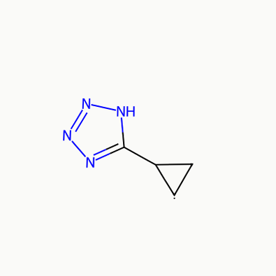 [CH]1CC1c1nnn[nH]1